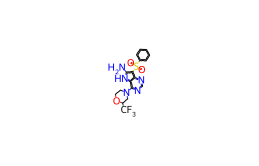 Nc1[nH]c2c(N3CCOC(C(F)(F)F)C3)ncnc2c1S(=O)(=O)c1ccccc1